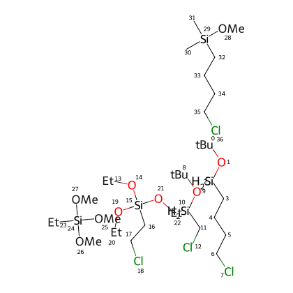 CC(C)(C)O[SiH2]CCCCCl.CC(C)(C)O[SiH2]CCl.CCO[Si](CCCl)(OCC)OCC.CC[Si](OC)(OC)OC.CO[Si](C)(C)CCCCCl